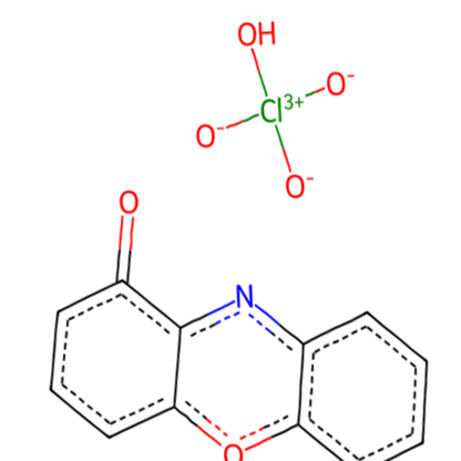 O=c1cccc2oc3ccccc3nc1-2.[O-][Cl+3]([O-])([O-])O